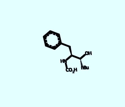 CCCC[C@@H](O)[C@H](Cc1ccccc1)NC(=O)O